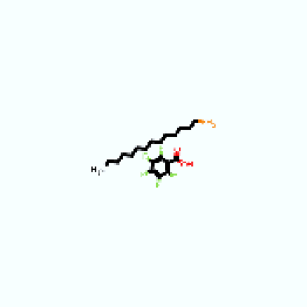 CCCCCCCCCCCCCCP.O=C(O)c1c(F)c(F)c(F)c(F)c1F